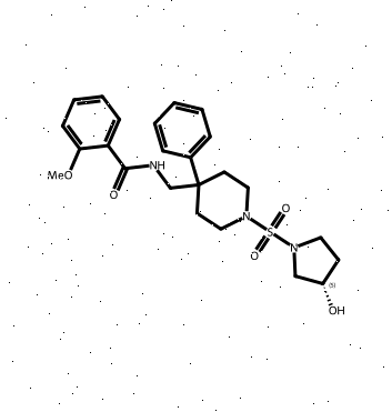 COc1ccccc1C(=O)NCC1(c2ccccc2)CCN(S(=O)(=O)N2CC[C@H](O)C2)CC1